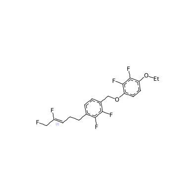 CCOc1ccc(OCc2ccc(CC/C=C(\F)CF)c(F)c2F)c(F)c1F